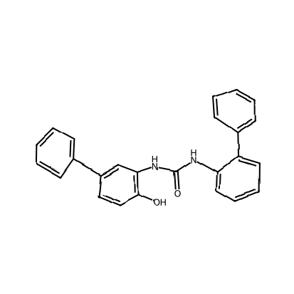 O=C(Nc1cc(-c2ccccc2)ccc1O)Nc1ccccc1-c1ccccc1